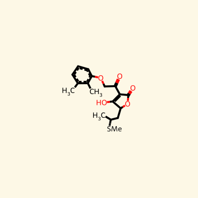 CSC(C)CC1OC(=O)C(C(=O)COc2cccc(C)c2C)=C1O